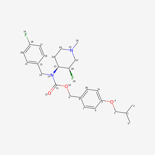 CC(C)COc1ccc(COC(=O)N(Cc2ccc(F)cc2)[C@H]2CCN(C)C[C@H]2F)cc1